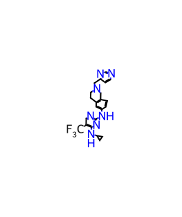 FC(F)(F)c1cnc(Nc2ccc3c(c2)CCN(Cc2ccncn2)C3)nc1NC1CC1